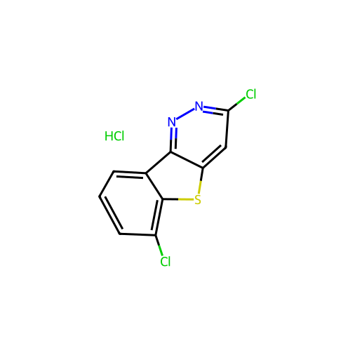 Cl.Clc1cc2sc3c(Cl)cccc3c2nn1